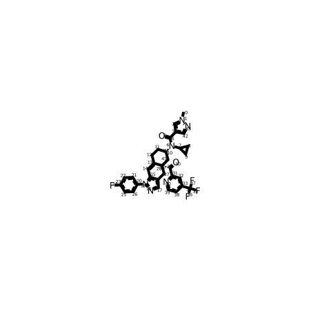 Cn1cc(C(=O)N(C2CC2)[C@H]2CCC3=Cc4c(cnn4-c4ccc(F)cc4)C[C@]3(C(=O)c3cc(C(F)(F)F)ccn3)C2)cn1